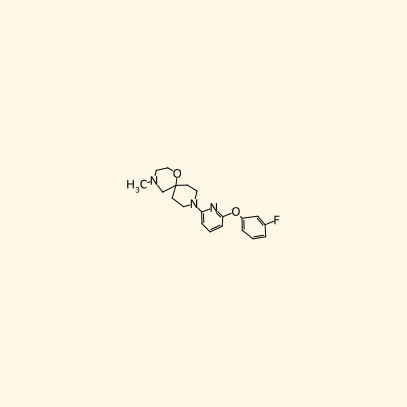 CN1CCOC2(CCN(c3cccc(Oc4cccc(F)c4)n3)CC2)C1